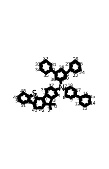 CC1(C)c2cc(N(c3ccc(-c4ccccc4)cc3)c3cc(-c4ccccc4)cc(-c4ccccc4)c3)ccc2-c2c1ccc1c2sc2ccccc21